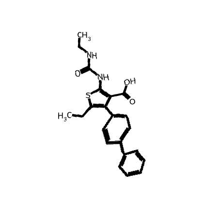 CCNC(=O)Nc1sc(CC)c(-c2ccc(-c3ccccc3)cc2)c1C(=O)O